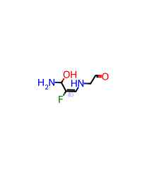 NC(O)/C(F)=C\NCC=O